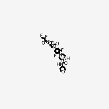 O=C(NC[C@H]1CN(c2cc(F)c(N3CCNN(C(=O)NC4CCOCC4)CC3)c(F)c2)C(=O)O1)C(F)CF